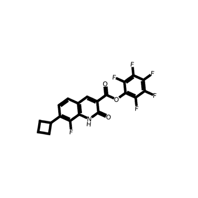 O=C(Oc1c(F)c(F)c(F)c(F)c1F)c1cc2ccc(C3CCC3)c(F)c2[nH]c1=O